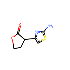 Nc1nc(C2CCOC2=O)cs1